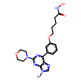 CC(C)n1cnc2c(-c3cccc(OCCCCC(=O)NO)c3)nc(N3CCOCC3)nc21